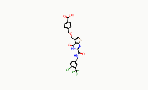 O=C(O)c1ccc(COCc2csc3nc(C(=O)NCc4ccc(Cl)c(C(F)(F)F)c4)[nH]c(=O)c23)cc1